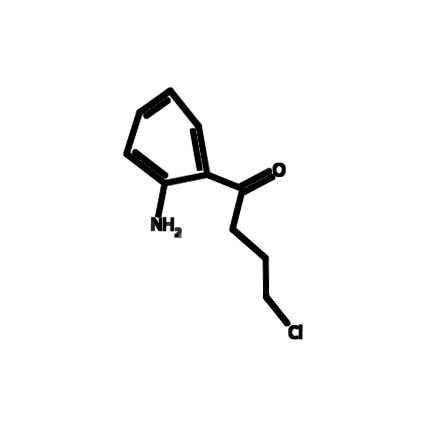 Nc1ccccc1C(=O)CCCCl